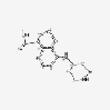 O=C(O)c1cccc2c(NC3CCNCC3)ncnc12